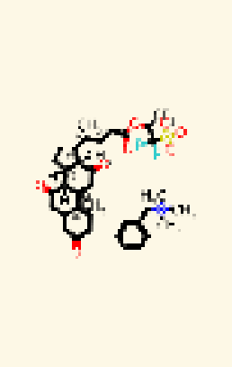 C[C@H](CCC(=O)OC(C(F)(F)F)C(F)(F)S(=O)(=O)[O-])[C@H]1CC[C@H]2[C@@H]3C(=O)CC4CC(=O)CC[C@]4(C)[C@H]3CC(=O)[C@]12C.C[N+](C)(C)Cc1ccccc1